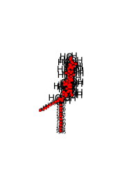 CCCCCCCCCCCCC/C=C/[C@@H](O)[C@H](CO[C@@H]1OC(CO)[C@@H](O[C@@H]2OC(CO)[C@H](O)[C@H](O[C@@H]3OC(CO)[C@@H](O[C@@H]4OC(CO)[C@H](O)[C@H](O[C@H]5OC(CO)[C@H](O)[C@H](O[C@@H]6OC(CO)[C@H](O)[C@H](O[C@]7(C(=O)O)CC(O)[C@@H](NC(C)=O)C([C@H](O)[C@H](O)CO)O7)C6O)C5NC(C)=O)C4O[C@H]4OC(C)[C@@H](O)C(O)[C@@H]4O)[C@H](O)C3NC(C)=O)C2O)[C@H](O)C1O)NC(=O)CCCCCCCCCCCCCCCCCCCCC